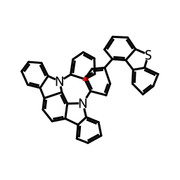 c1ccc(-n2c3ccccc3c3ccc4c5ccccc5n(-c5ccc(-c6cccc7sc8ccccc8c67)cc5)c4c32)cc1